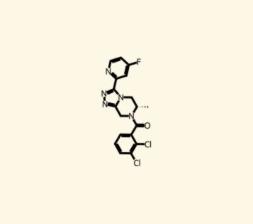 C[C@H]1Cn2c(nnc2-c2cc(F)ccn2)CN1C(=O)c1cccc(Cl)c1Cl